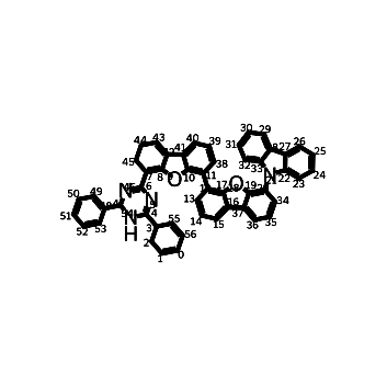 C1=CCC(C2=NC(C3=c4oc5c(-c6cccc7c6oc6c(-n8c9ccccc9c9ccccc98)cccc67)cccc5c4=CCC3)=NC(c3ccccc3)N2)C=C1